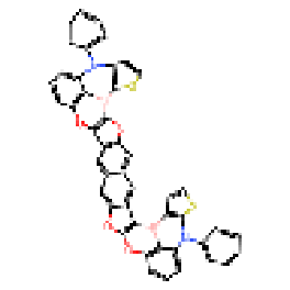 c1ccc(N2c3ccsc3B3c4oc5cc6cc7c8c(oc7cc6cc5c4Oc4cccc2c43)Oc2cccc3c2B8c2ccsc2N3c2ccccc2)cc1